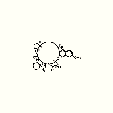 CC[C@@H]1[C@@H]2CN(C(=O)[C@H](C3(C)CCOCC3)NC(=O)O[C@@H]3CCC[C@H]3CCCCCC(F)(F)c3nc4ccc(OC)cc4nc3O2)[C@@H]1C(C)=O